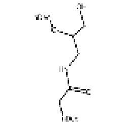 CCCCCCCCCCCC(=O)NCC(CO)OCCCCCCCCCC